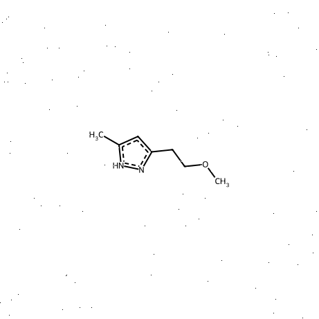 COCCc1cc(C)[nH]n1